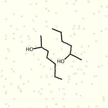 CCCCC(C)O.CCCCCC(C)O